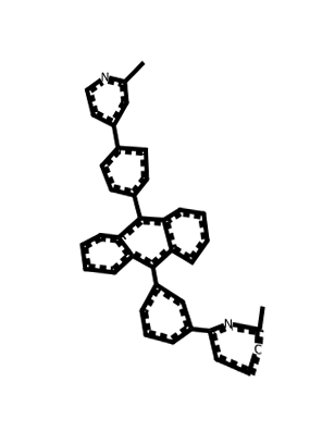 Cc1cc(-c2ccc(-c3c4ccccc4c(-c4cccc(-c5cccc(C)n5)c4)c4ccccc34)cc2)ccn1